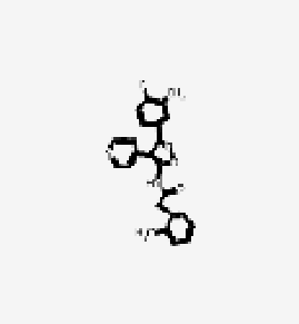 Cc1cc(-c2noc(NC(=O)Cc3ccccc3C)c2-c2ccncc2)ccc1F